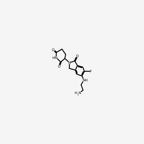 NCCNc1cc2c(cc1F)C(=O)N(C1CCC(=O)NC1=O)C2